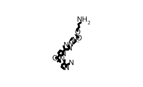 C[C@@H]1CN(c2ncc(-c3ccc4c(n3)N(Cc3cccnc3C#N)C(C)(C)C4=O)cn2)CCN1C(=O)COCCCCN